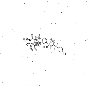 BN1C(=O)C(B)(B)C(B)(B)[C@](B)(N2Cc3cc(C(B)(B)NC(=O)C(F)(F)c4ccc(Cl)cc4)ccc3C2=O)C1=O